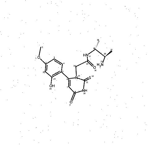 COc1ccc(-c2cc(=O)[nH]c(=S)n2CC(=O)N[C@H](C)[C@@H](C)N)c(O)c1